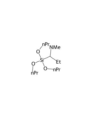 CCCO[Si](OCCC)(OCCC)C(CC)NC